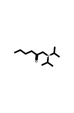 CCCCC(=O)C[S+](C(C)C)C(C)C